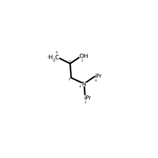 [CH2]C(O)CN(C(C)C)C(C)C